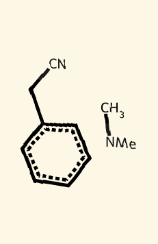 CNC.N#CCc1ccccc1